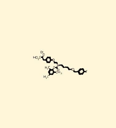 CCOC(Cc1ccc(OCCN(CCCCOCc2ccc(F)cc2)C(=O)Oc2c(C)cc(C)cc2C)cc1)C(=O)O